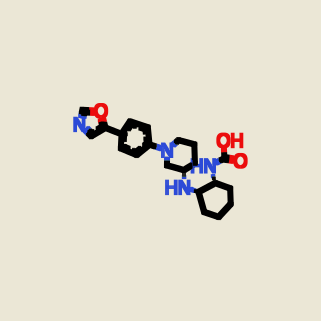 O=C(O)N[C@@H]1CCCC[C@H]1N[C@H]1CCCN(c2ccc(-c3cnco3)cc2)C1